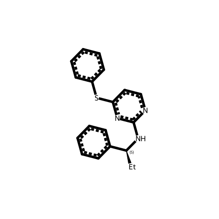 CC[C@H](Nc1nccc(Sc2ccccc2)n1)c1ccccc1